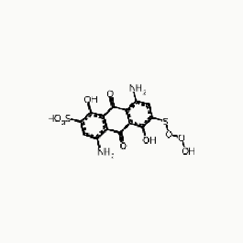 Nc1cc(SOOO)c(O)c2c1C(=O)c1c(O)c(S(=O)(=O)O)cc(N)c1C2=O